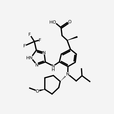 CO[C@H]1CC[C@H](N(CC(C)C)c2ccc([C@H](C)CC(=O)O)cc2Nc2n[nH]c(C(F)(F)F)n2)CC1